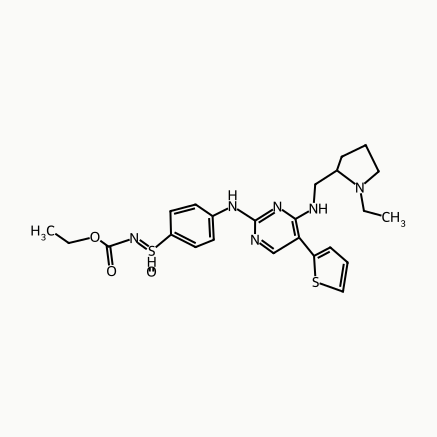 CCOC(=O)/N=[SH](=O)/c1ccc(Nc2ncc(-c3cccs3)c(NCC3CCCN3CC)n2)cc1